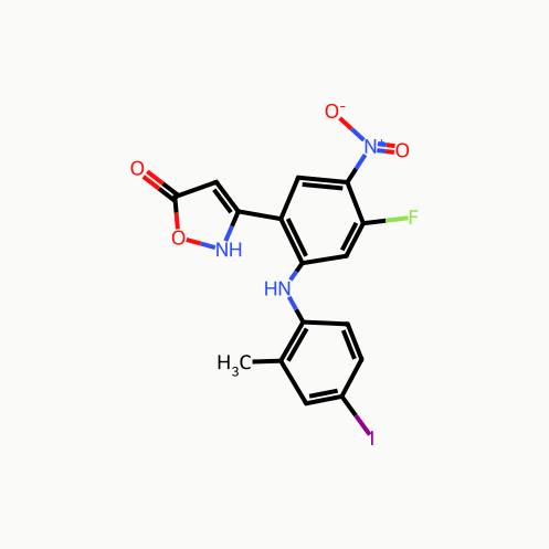 Cc1cc(I)ccc1Nc1cc(F)c([N+](=O)[O-])cc1-c1cc(=O)o[nH]1